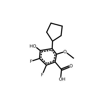 COc1c(C(=O)O)c(F)c(F)c(O)c1C1CCCC1